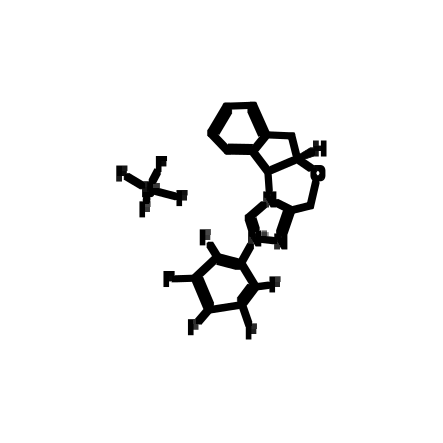 F[B-](F)(F)F.Fc1c(F)c(F)c(-[n+]2cn3c(n2)CO[C@H]2Cc4ccccc4C23)c(F)c1F